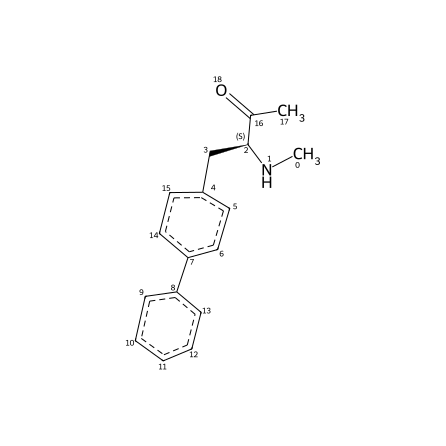 CN[C@@H](Cc1ccc(-c2ccccc2)cc1)C(C)=O